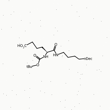 CCCCCCCCCCCCCCNC(=O)[C@H](CCCC(=O)O)NC(=O)OC(C)(C)C